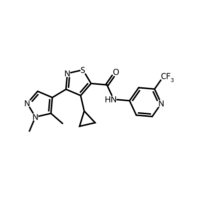 Cc1c(-c2nsc(C(=O)Nc3ccnc(C(F)(F)F)c3)c2C2CC2)cnn1C